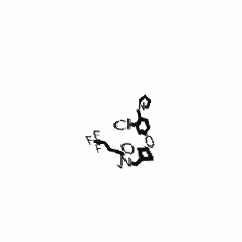 CN(CC1CC(Oc2ccc(CN3CCCC3)c(Cl)c2)C1)C(=O)CCC(F)(F)F